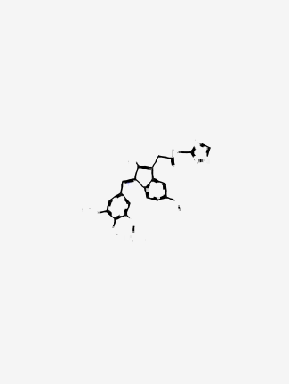 COc1ccc2c(c1)C(CC(=O)Nc1nc[nH]n1)=C(C)/C2=C/c1cc(OC)c(OC)c(OC)c1